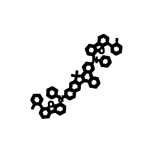 Cc1ccccc1-c1cccc2c1oc1c(N(c3ccccc3)c3ccc4cc5c(cc4c3)C(C)(C)c3c-5c4ccccc4c4cc(N(c5ccccc5)c5cccc6c5oc5c(-c7ccccc7C)cccc56)ccc34)cccc12